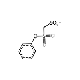 O=S(=O)(O)CS(=O)(=O)Oc1ccccc1